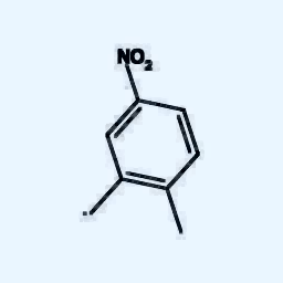 [CH2]c1cc([N+](=O)[O-])ccc1C